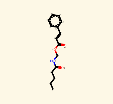 CCCCC(=O)NCOC(=O)C=Cc1ccccc1